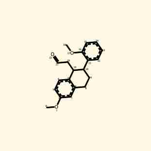 COc1ccc2c(c1)CCC(c1ccccc1OC)C2CC=O